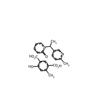 Cc1cc(O)c(C(=O)O)cc1C(=O)O.Cc1ccc(C(C)n2ccccc2=O)cn1